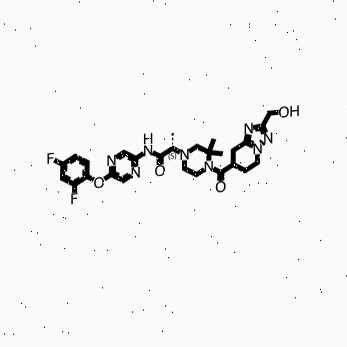 C[C@@H](C(=O)Nc1cnc(Oc2ccc(F)cc2F)cn1)N1CCN(C(=O)C2CCn3nc(CO)nc3C2)C(C)(C)C1